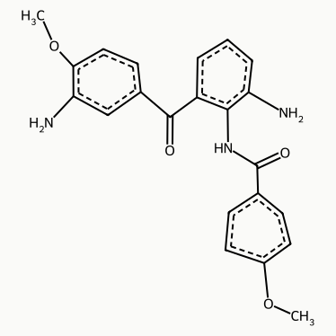 COc1ccc(C(=O)Nc2c(N)cccc2C(=O)c2ccc(OC)c(N)c2)cc1